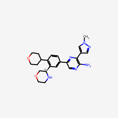 Cn1cc(-c2nc(-c3ccc(C4CCOCC4)c([C@@H]4COCCN4)c3)cnc2N)cn1